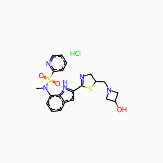 CN(c1cccc2cc(C3=NCC(CN4CC(O)C4)S3)[nH]c12)S(=O)(=O)c1ccccn1.Cl